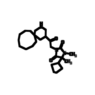 CN1C(=O)N(CC(=O)C2CNCC3(CCCCCCCC3)C2)C(=O)C1(C)C1CCCC1